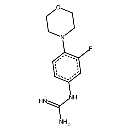 N=C(N)Nc1ccc(N2CCOCC2)c(F)c1